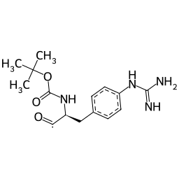 CC(C)(C)OC(=O)N[C@H]([C]=O)Cc1ccc(NC(=N)N)cc1